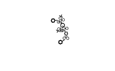 CC(C)(C)OC(=O)N1C[C@H](N(OCc2ccccc2)C(=O)OC(C)(C)C)CC[C@@H]1C(=O)NC1CCN(C(=O)OCc2ccccc2)C1